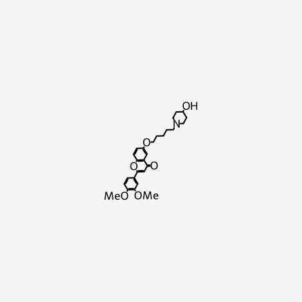 COc1ccc(-c2cc(=O)c3cc(OCCCCCN4CCC(O)CC4)ccc3o2)cc1OC